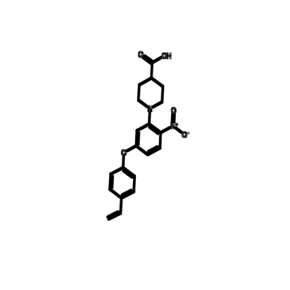 C=Cc1ccc(Oc2ccc([N+](=O)[O-])c(N3CCC(C(=O)O)CC3)c2)cc1